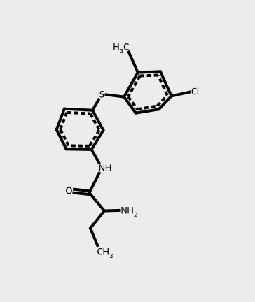 CCC(N)C(=O)Nc1cccc(Sc2ccc(Cl)cc2C)c1